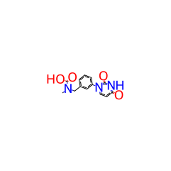 CN(Cc1cccc(-n2ccc(=O)[nH]c2=O)c1)C(=O)O